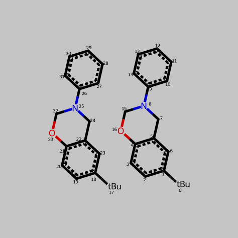 CC(C)(C)c1ccc2c(c1)CN(c1ccccc1)CO2.CC(C)(C)c1ccc2c(c1)CN(c1ccccc1)CO2